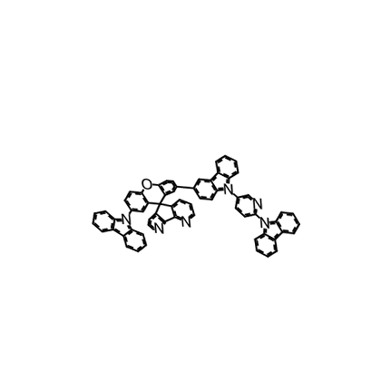 c1cnc2c(c1)C1(c3cc(-c4ccc5c(c4)c4ccccc4n5-c4ccc(-n5c6ccccc6c6ccccc65)nc4)ccc3Oc3ccc(-n4c5ccccc5c5ccccc54)cc31)c1cccnc1-2